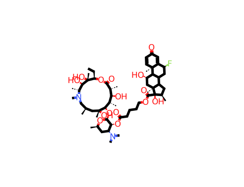 CC[C@H]1OC(=O)[C@H](C)[C@@H](O)[C@H](C)[C@@H](O[C@@H]2O[C@H](C)C[C@@H](N(C)C)[C@H]2OC(=O)CCCCOC(=O)[C@@]2(O)[C@H](C)CC3C4C[C@H](F)C5=CC(=O)C=C[C@]5(C)C4[C@@H](O)C[C@@]32C)[C@](C)(O)C[C@@H](C)CN(C)[C@H](C)[C@@H](O)[C@]1(C)O